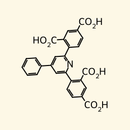 O=C(O)c1ccc(-c2cc(-c3ccccc3)cc(-c3ccc(C(=O)O)cc3C(=O)O)n2)c(C(=O)O)c1